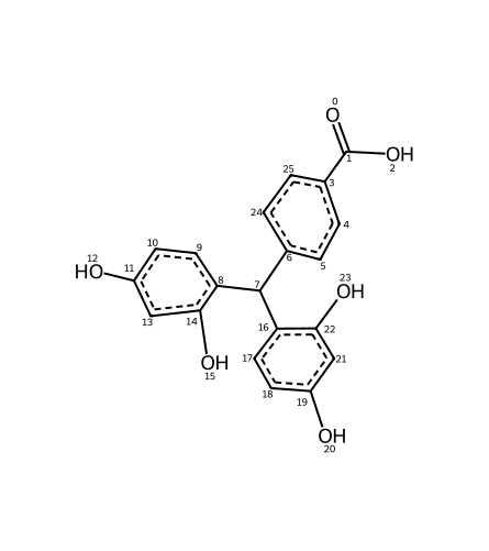 O=C(O)c1ccc(C(c2ccc(O)cc2O)c2ccc(O)cc2O)cc1